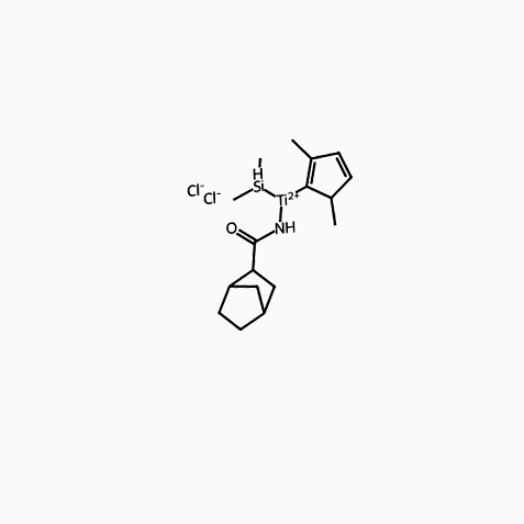 CC1=[C]([Ti+2]([NH]C(=O)C2CC3CCC2C3)[SiH](C)C)C(C)C=C1.[Cl-].[Cl-]